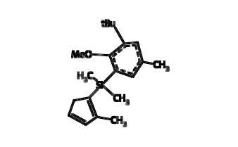 COc1c(C(C)(C)C)cc(C)cc1[Si](C)(C)C1=C(C)C=CC1